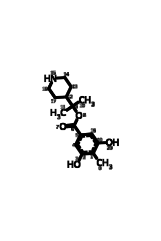 Cc1c(O)cc(C(=O)OC(C)(C)C2CCNCC2)cc1O